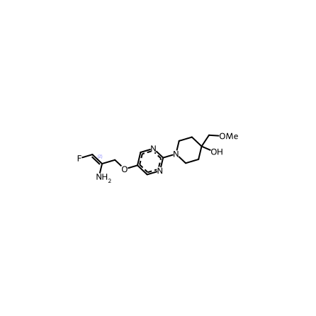 COCC1(O)CCN(c2ncc(OC/C(N)=C/F)cn2)CC1